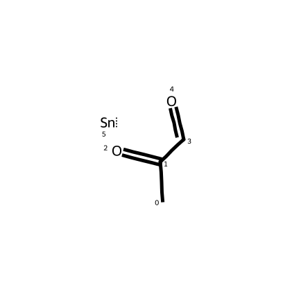 CC(=O)C=O.[Sn]